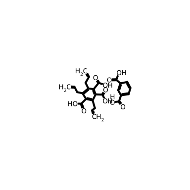 C=CCc1c(CC=C)c(C(=O)O)c(C(=O)O)c(CC=C)c1C(=O)O.O=C(O)c1cccc(C(=O)O)c1